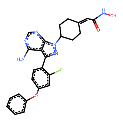 Nc1ncnc2c1c(-c1ccc(Oc3ccccc3)cc1F)nn2C1CCC(=CC(=O)NO)CC1